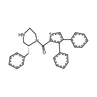 O=C(c1scc(-c2ccccc2)c1-c1ccccc1)N1CCNC[C@H]1Cc1ccccc1